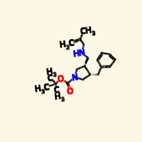 C=C(C)CNC[C@@H]1CN(C(=O)OC(C)(C)C)C[C@H]1Cc1ccccc1